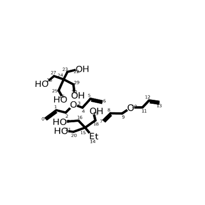 C=CCOCC=C.C=CCOCC=C.CCC(CO)(CO)CO.OCC(CO)(CO)CO